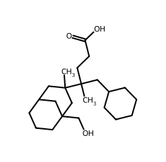 CC(CCC(=O)O)(CC1CCCCC1)C1(C)CC2CCCC(CO)(C2)C1